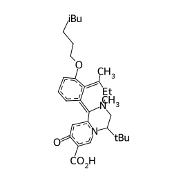 CC/C(C)=c1/c(OCCCC(C)CC)ccc/c1=C1\c2cc(=O)c(C(=O)O)cn2C(C(C)(C)C)CN1C